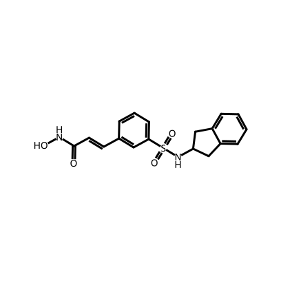 O=C(/C=C/c1cccc(S(=O)(=O)NC2Cc3ccccc3C2)c1)NO